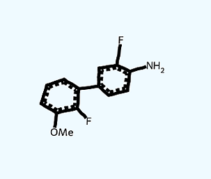 COc1cccc(-c2ccc(N)c(F)c2)c1F